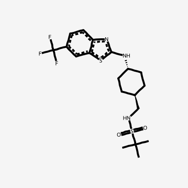 CC(C)(C)S(=O)(=O)NC[C@H]1CC[C@H](Nc2nc3ccc(C(F)(F)F)cc3s2)CC1